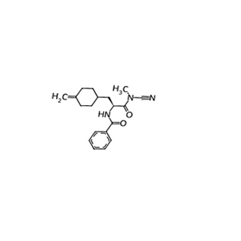 C=C1CCC(C[C@H](NC(=O)c2ccccc2)C(=O)N(C)C#N)CC1